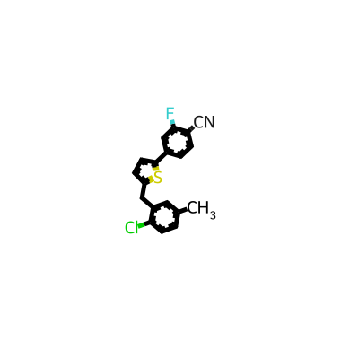 Cc1ccc(Cl)c(Cc2ccc(-c3ccc(C#N)c(F)c3)s2)c1